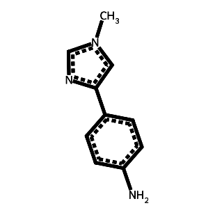 Cn1cnc(-c2ccc(N)cc2)c1